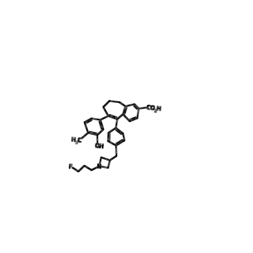 Cc1ccc(C2=C(c3ccc(CC4CN(CCCF)C4)cc3)c3ccc(C(=O)O)cc3CCC2)cc1O